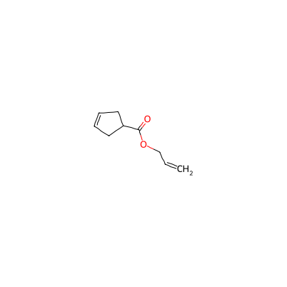 C=CCOC(=O)C1CC=CC1